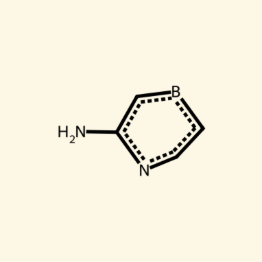 Nc1cbccn1